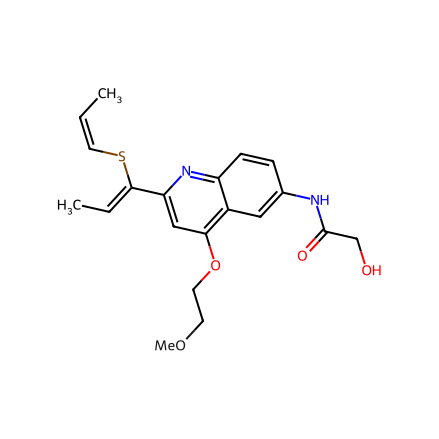 C/C=C\S/C(=C\C)c1cc(OCCOC)c2cc(NC(=O)CO)ccc2n1